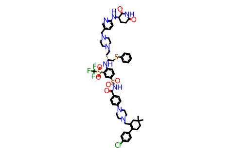 CC1(C)CCC(c2ccc(Cl)cc2)=C(CN2CCN(c3ccc(C(=O)NS(=O)(=O)c4ccc(N[C@H](CCN5CCN(Cc6ccc(NC7CCC(=O)NC7=O)nc6)CC5)CSc5ccccc5)c(S(=O)(=O)C(F)(F)F)c4)cc3)CC2)C1